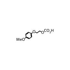 COc1ccc(OCCOC(=O)O)cc1